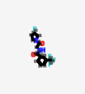 O=C(NCC(=O)N1CCC(F)C1)c1cccc(C(F)(F)F)c1